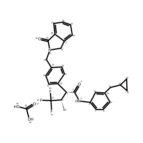 C[C@@H]([C@@H](C(=O)Nc1cccc(CC2CC2)c1)c1ccc(CN2Cc3ccccc3C2=O)cc1)C(F)(F)F.O=C(O)O